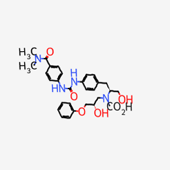 CN(C)C(=O)c1ccc(NC(=O)Nc2ccc(C[C@@H](CO)N(C[C@H](O)COc3ccccc3)C(=O)O)cc2)cc1